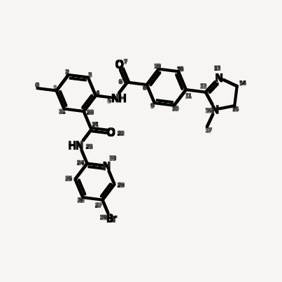 Cc1ccc(NC(=O)c2ccc(C3=NCCN3C)cc2)c(C(=O)Nc2ccc(Br)cn2)c1